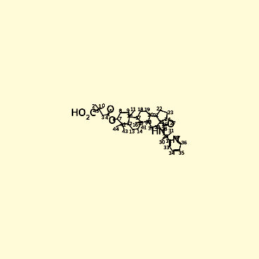 CC(C)(CC(=O)OC1CCC2(C)C(CCC3(C)C2CCC2C4CCCC4(C(=O)NC(C)(C)c4ccccn4)CC[C@]23C)C1(C)C)C(=O)O